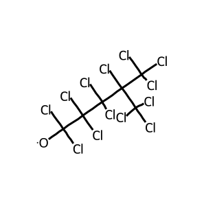 [O]C(Cl)(Cl)C(Cl)(Cl)C(Cl)(Cl)C(Cl)(C(Cl)(Cl)Cl)C(Cl)(Cl)Cl